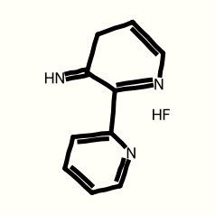 F.N=C1CC=CN=C1c1ccccn1